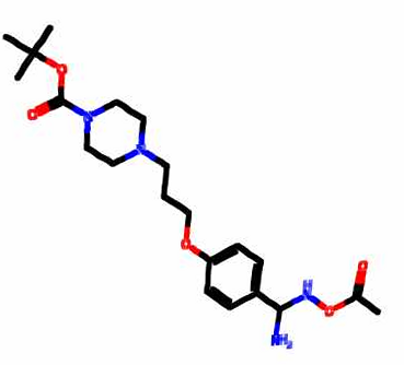 CC(=O)ONC(N)c1ccc(OCCCN2CCN(C(=O)OC(C)(C)C)CC2)cc1